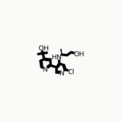 C[C@@H](CCO)Nc1cc(Cl)ncc1-c1cc(C(C)(C)O)ccn1